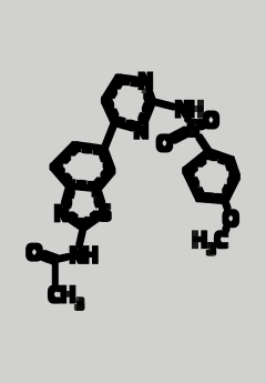 COc1ccc(S(=O)(=O)Nc2nccc(-c3ccc4nc(NC(C)=O)sc4c3)n2)cc1